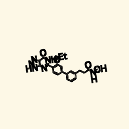 CCOc1cc(-c2cccc(CCC(=O)NO)c2)ccc1-c1nc2[nH]nnc2c(=O)[nH]1